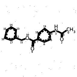 CC(=O)Nc1ccc(C(=O)OCc2ccccc2)cc1